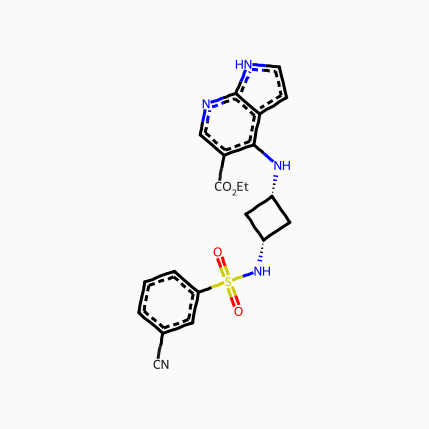 CCOC(=O)c1cnc2[nH]ccc2c1N[C@H]1C[C@@H](NS(=O)(=O)c2cccc(C#N)c2)C1